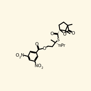 CCC[C@@](C)(CCOC(=O)c1cc([N+](=O)[O-])cc([N+](=O)[O-])c1)SC(=O)[C@@]12CCC(C)(C(=O)O1)C2(C)C